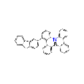 c1ccc2c(c1)Cc1ccc(-c3cccc4c3-c3ccccc3B3c5ccccc5-c5ccccc5N34)cc1-2